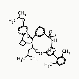 Cc1cccc(C)c1-c1cc2nc(n1)NS(=O)(=O)c1cccc(c1)C(=O)N(C1CCC1c1ncc(OC(C)C)cn1)[C@H](CC(C)C)CO2